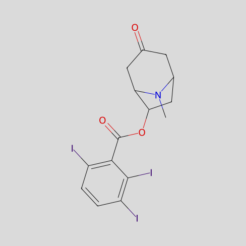 CN1C2CC(=O)CC1C(OC(=O)c1c(I)ccc(I)c1I)C2